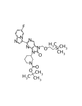 CC(C)(C)OC(=O)N1CCCC(n2c(=O)n(COCC[Si](C)(C)C)c3cnc(-c4cnc5ccc(F)cn45)nc32)C1